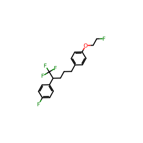 FCCOc1ccc(CCCC(c2ccc(F)cc2)C(F)(F)F)cc1